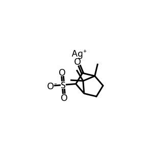 CC12CCC(C(S(=O)(=O)[O-])C1=O)C2(C)C.[Ag+]